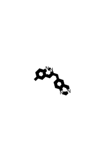 Cc1ccc2nnc(Cc3ccc4ncncc4c3)cc2c1